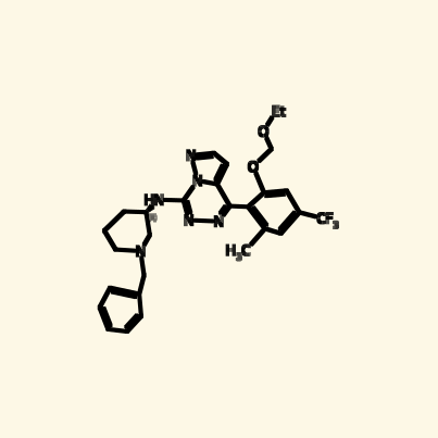 CCOCOc1cc(C(F)(F)F)cc(C)c1-c1nnc(N[C@@H]2CCCN(Cc3ccccc3)C2)n2nccc12